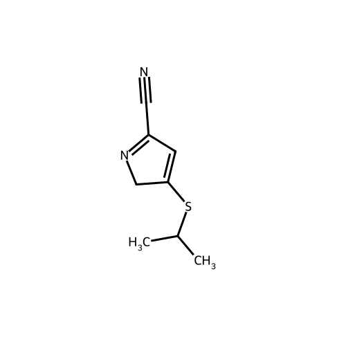 CC(C)SC1=CC(C#N)=NC1